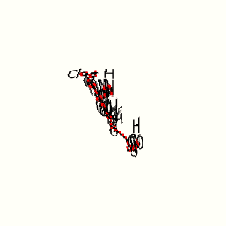 CC1(C)CCC(CN2CCN(c3ccc(C(=O)NS(=O)(=O)c4ccc(NCC5CCN(C(=O)CCCCCCCC#Cc6cccc7c6C(=O)N(C6CCC(=O)NC6=O)C7=O)CC5)c([N+](=O)[O-])c4)c(Oc4cnc5[nH]ccc5c4)c3)CC2)=C(c2ccc(Cl)cc2)C1